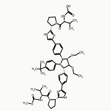 CCOC1[C@H](OCC)[C@H](c2ccc(-c3c[nH]c([C@@H]4CCCN4C(=O)[C@@H](NC(=O)O)C(C)C)n3)cc2)N(c2ccc(C(C)(C)C)cc2)[C@H]1c1ccc(-c2c[nH]c([C@@H]3CCCN3C(=O)[C@@H](NC(=O)OC)C(C)C)n2)cc1